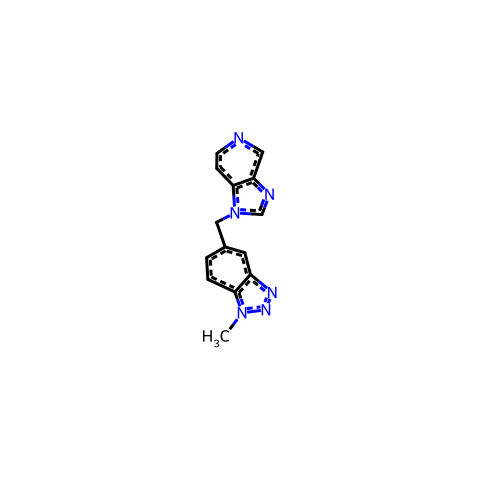 Cn1nnc2cc(Cn3cnc4cnccc43)ccc21